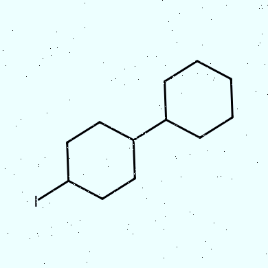 IC1CCC(C2CCCCC2)CC1